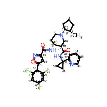 C[C@@H]1CCC[C@@H]1N1CC[C@@H](NC(=O)c2cc(-c3c(F)cc(F)cc3F)on2)[C@H](C(=O)NC2(c3ccccn3)CC2)C1